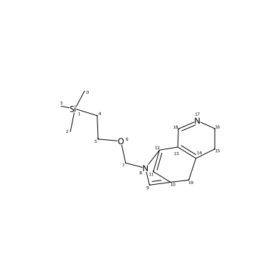 C[Si](C)(C)CCOCn1cc2cc1C1=C(CCN=C1)C2